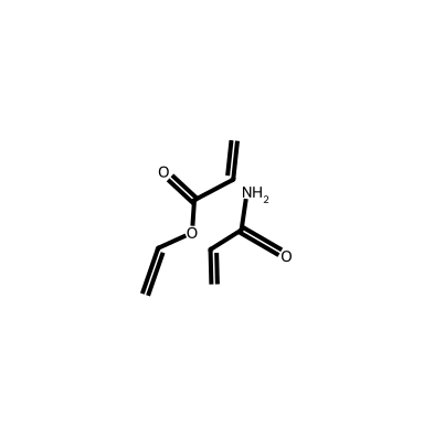 C=CC(N)=O.C=COC(=O)C=C